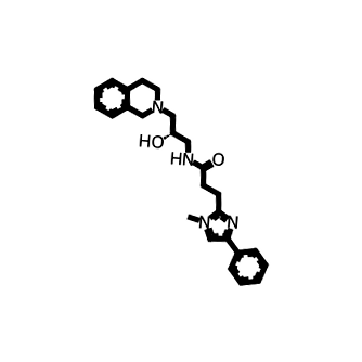 Cn1cc(-c2ccccc2)nc1CCC(=O)NC[C@H](O)CN1CCc2ccccc2C1